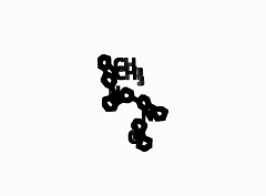 CC1(C)c2ccccc2-c2ccc(-n3c4ccccc4c4cc(-c5ccc6c7ccccc7n(-c7ccc8oc9ccccc9c8c7)c6c5)ccc43)cc21